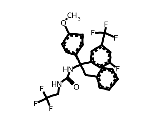 COc1ccc(C(Cc2ccccc2)(NC(=O)NCC(F)(F)F)c2cc(F)cc(C(F)(F)F)c2)cc1